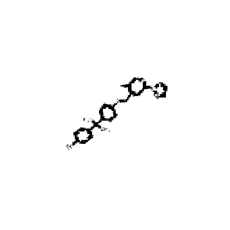 Cc1ccc(C(C)(C)c2ccc(OCc3cc(-n4nccn4)ncc3F)cc2)cc1